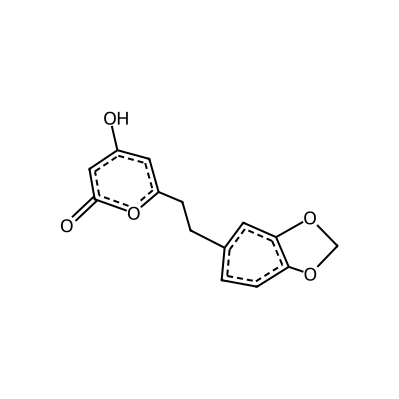 O=c1cc(O)cc(CCc2ccc3c(c2)OCO3)o1